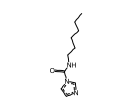 CCCCCCNC(=O)n1ccnc1